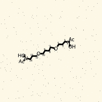 CC(=O)N(O)CCCOCCCCOCCCN(O)C(C)=O